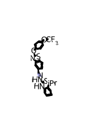 CC(C)c1ccccc1NC(=S)N/N=C/c1ccc2sc(Oc3ccc(OC(F)(F)F)cc3)nc2c1